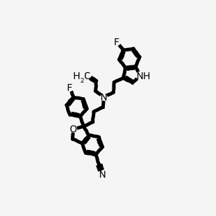 C=CCN(CCCC1(c2ccc(F)cc2)OCc2cc(C#N)ccc21)CCc1c[nH]c2ccc(F)cc12